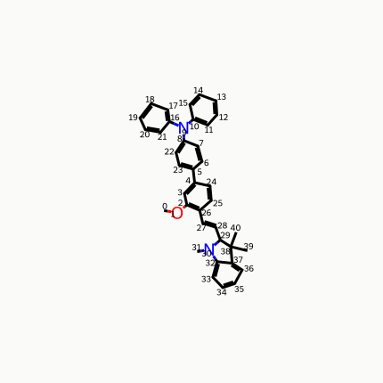 COc1cc(-c2ccc(N(c3ccccc3)c3ccccc3)cc2)ccc1C=CC1N(C)c2ccccc2C1(C)C